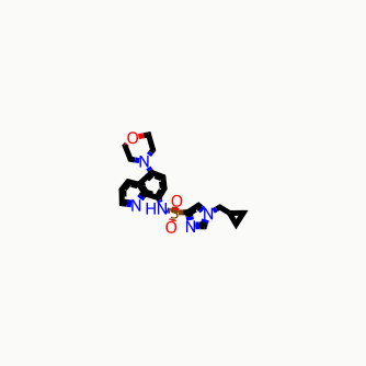 O=S(=O)(Nc1ccc(N2CCOCC2)c2cccnc12)c1cn(CC2CC2)cn1